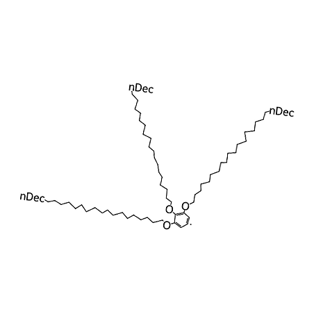 CCCCCCCCCCCCCCCCCCCCCCCCCCCCOc1c[c]cc(OCCCCCCCCCCCCCCCCCCCCCCCCCCCC)c1OCCCCCCCCCCCCCCCCCCCCCCCCCCCC